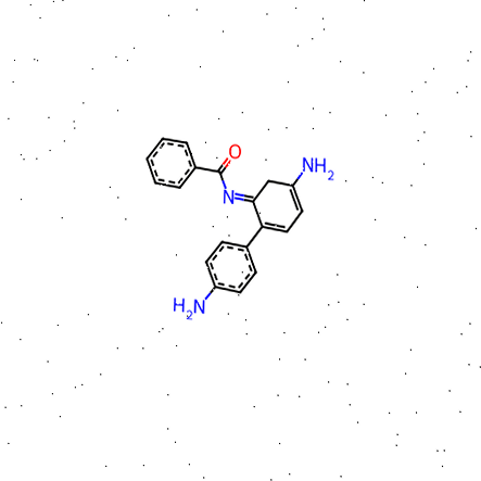 NC1=CC=C(c2ccc(N)cc2)C(=NC(=O)c2ccccc2)C1